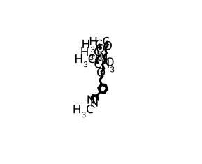 CCn1cc(-c2cccc(CCOCCC(=O)N(CC(OC)OC)[C@H](C)C(C)C)c2)cn1